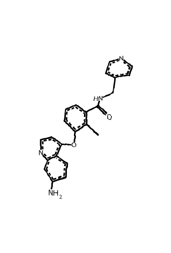 Cc1c(Oc2ccnc3cc(N)ccc23)cccc1C(=O)NCc1ccncc1